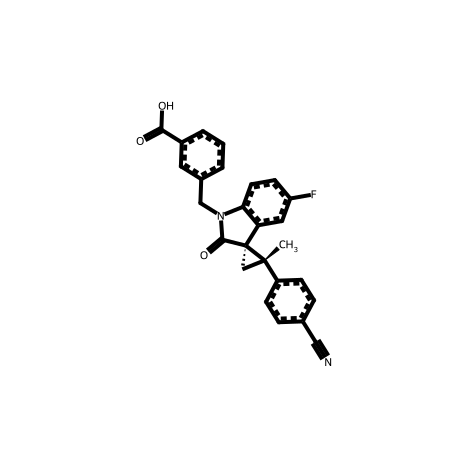 C[C@@]1(c2ccc(C#N)cc2)C[C@@]12C(=O)N(Cc1cccc(C(=O)O)c1)c1ccc(F)cc12